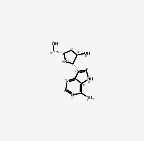 Nc1ncnc2c([C@@H]3N[C@H](CO)C[C@H]3O)c[nH]c12